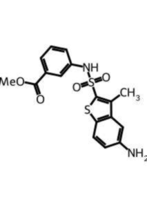 COC(=O)c1cccc(NS(=O)(=O)c2sc3ccc(N)cc3c2C)c1